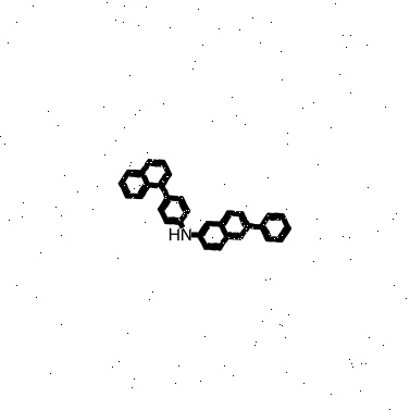 c1ccc(-c2ccc3cc(Nc4ccc(-c5cccc6ccccc56)cc4)ccc3c2)cc1